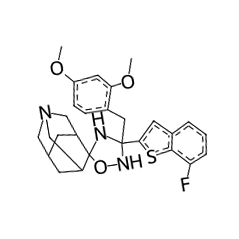 COc1ccc(CC2(c3cc4cccc(F)c4s3)NOC3(N2)C2CC4CC3CN(C4)C2)c(OC)c1